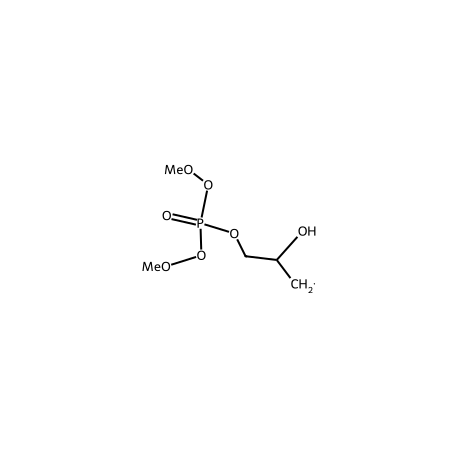 [CH2]C(O)COP(=O)(OOC)OOC